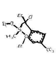 CCO[Si](C)(OCC)C(Cl)(CC)c1ccc(C(Cl)(Cl)Cl)cc1